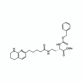 COC(=O)[C@H](CCNC(=O)CCCCc1ccc2c(n1)NCCC2)NC(=O)OCc1ccccc1